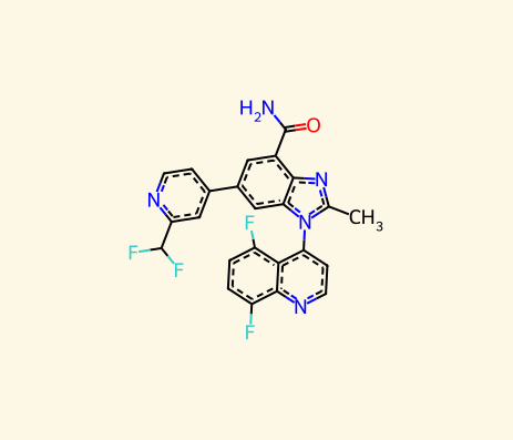 Cc1nc2c(C(N)=O)cc(-c3ccnc(C(F)F)c3)cc2n1-c1ccnc2c(F)ccc(F)c12